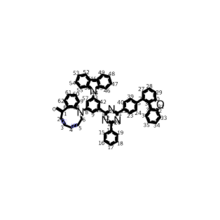 C=C1/C=C\C=C/CN(c2cc(-c3nc(-c4ccccc4)nc(-c4ccc(-c5cccc6oc7ccccc7c56)cc4)n3)cc(-n3c4ccccc4c4ccccc43)c2)c2ccccc21